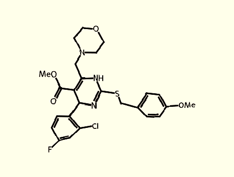 COC(=O)C1=C(CN2CCOCC2)NC(SCc2ccc(OC)cc2)=NC1c1ccc(F)cc1Cl